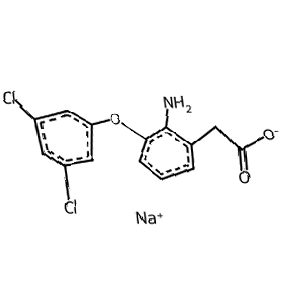 Nc1c(CC(=O)[O-])cccc1Oc1cc(Cl)cc(Cl)c1.[Na+]